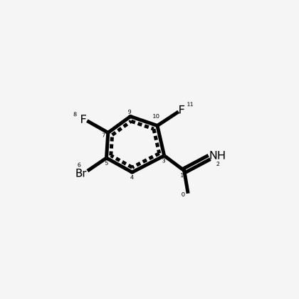 CC(=N)c1cc(Br)c(F)cc1F